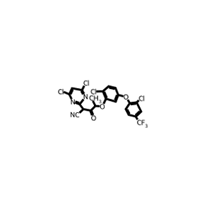 CC(Oc1cc(Oc2ccc(C(F)(F)F)cc2Cl)ccc1Cl)C(=O)C(C#N)c1nc(Cl)cc(Cl)n1